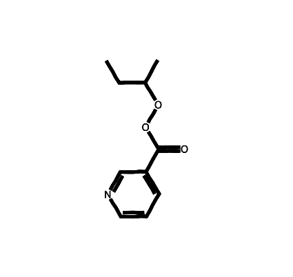 CCC(C)OOC(=O)c1cccnc1